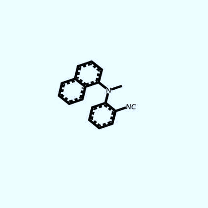 [C-]#[N+]c1ccccc1N(C)c1cccc2ccccc12